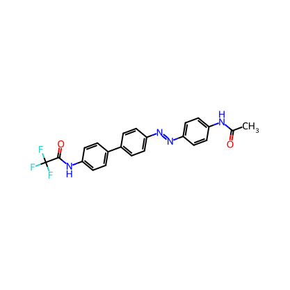 CC(=O)Nc1ccc(N=Nc2ccc(-c3ccc(NC(=O)C(F)(F)F)cc3)cc2)cc1